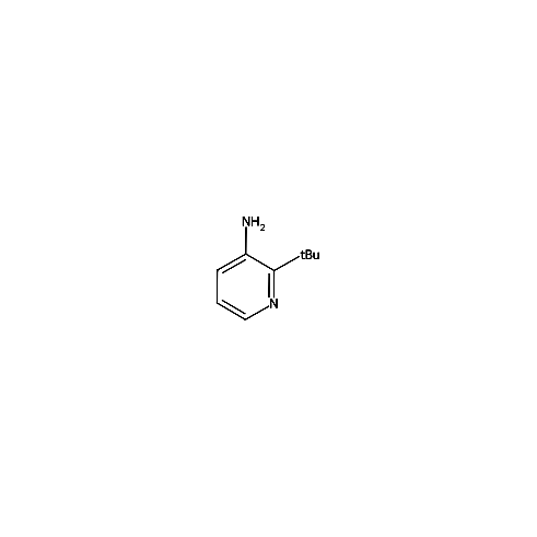 CC(C)(C)c1ncccc1N